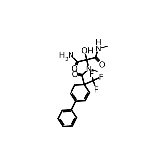 CNC(=O)C(O)(C(N)=O)N(C)C(=O)C1(C(F)(F)F)C=CC(c2ccccc2)=CC1